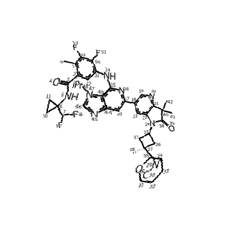 Cc1c(C(=O)NC2(C(F)F)CC2)cc(Nc2nc(-c3cnc4c(c3)N([C@H]3C[C@@](C)(N5CC6CCC5CO6)C3)C(=O)C4(C)C)cc3ncn(C(C)C)c23)c(F)c1F